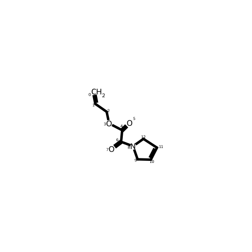 C=CCOC(=O)C(=O)N1CC=CC1